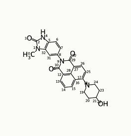 Cn1c(=O)[nH]c2ccc(N3C(=O)c4cccc5c(N6CCC(O)CC6)ccc(c45)C3=O)cc21